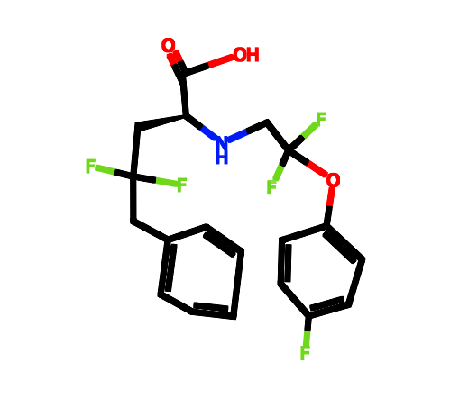 O=C(O)[C@H](CC(F)(F)Cc1ccccc1)NCC(F)(F)Oc1ccc(F)cc1